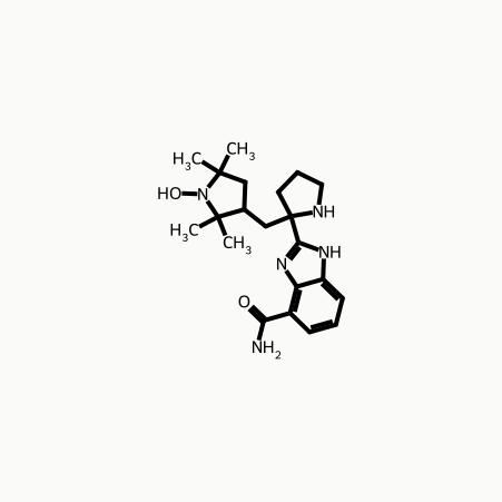 CC1(C)CC(CC2(c3nc4c(C(N)=O)cccc4[nH]3)CCCN2)C(C)(C)N1O